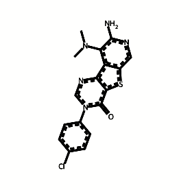 CN(C)c1c(N)ncc2sc3c(=O)n(-c4ccc(Cl)cc4)cnc3c12